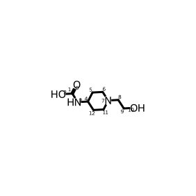 O=C(O)NC1CCN(CCO)CC1